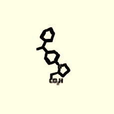 CC(c1ccccc1)c1ccc(N2CCC[C@H]2CC(=O)O)cc1